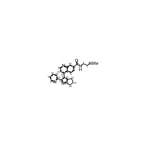 CNCCNC(=O)c1ccc2c(-c3c(-c4ccccn4)nn4c3CCC4)ccnc2c1